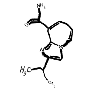 CC(C)c1cn2cccc(C(N)=O)c2n1